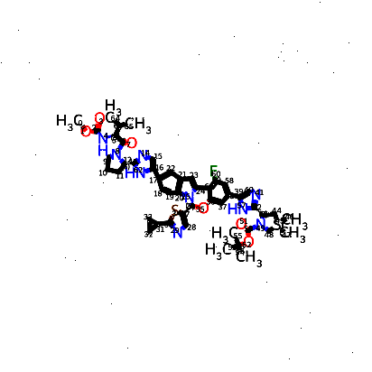 COC(=O)N[C@H](C(=O)N1CCC[C@H]1c1ncc(-c2ccc3c(c2)cc2n3[C@H](c3cnc(C4CC4)s3)Oc3cc(-c4cnc([C@@H]5C[Si](C)(C)CN5C(=O)OC(C)(C)C)[nH]4)cc(F)c3-2)[nH]1)C(C)C